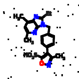 CCc1nc2c(C)cc(C)nc2n1Cc1ccc(-c2c(C)noc2S(=O)(=O)O)cc1